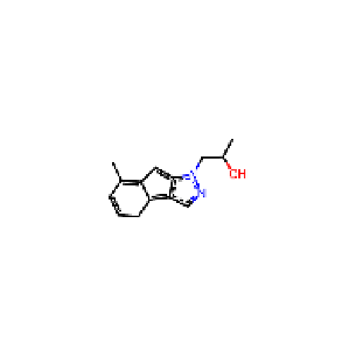 CC1=C2C=c3c(cnn3CC(C)O)=C2CC=C1